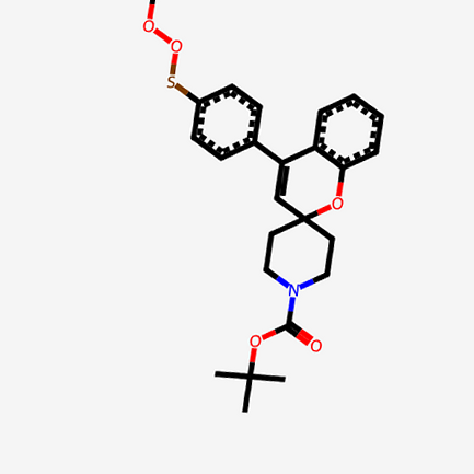 COOSc1ccc(C2=CC3(CCN(C(=O)OC(C)(C)C)CC3)Oc3ccccc32)cc1